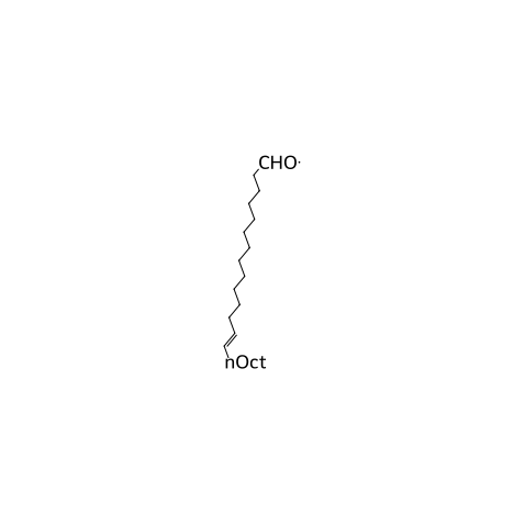 CCCCCCCC/C=C/CCCCCCCCCCC[C]=O